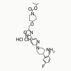 CC(C)OC(=O)N1CCC(OCc2nc(-c3ccc(N4CC[C@H](c5cc(F)ccc5F)[C@@H](N)C4)nc3)no2)CC1.Cl.Cl